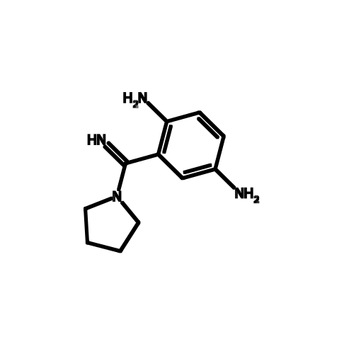 N=C(c1cc(N)ccc1N)N1CCCC1